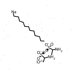 CC(N)S(=O)(=O)[O-].CC(N)S(=O)(=O)[O-].CCCCCCCCCCC[CH2][Na].[O+2]